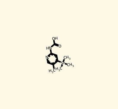 Cc1cnc(NC(=O)O)c[c]1[Sn]([CH3])([CH3])[CH3]